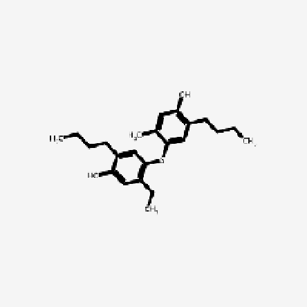 CCCCc1cc(Sc2cc(CCCC)c(O)cc2CC)c(C)cc1O